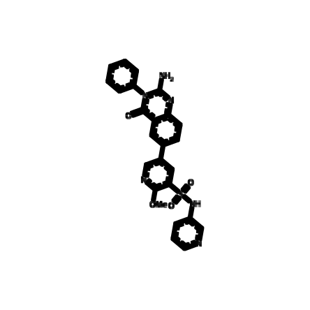 COc1ncc(-c2ccc3nc(N)n(-c4ccccc4)c(=O)c3c2)cc1S(=O)(=O)Nc1cccnc1